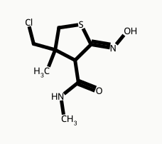 CNC(=O)C1C(=NO)SCC1(C)CCl